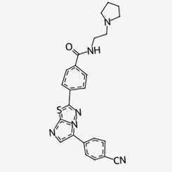 N#Cc1ccc(-c2cnc3sc(-c4ccc(C(=O)NCCN5CCCC5)cc4)nn23)cc1